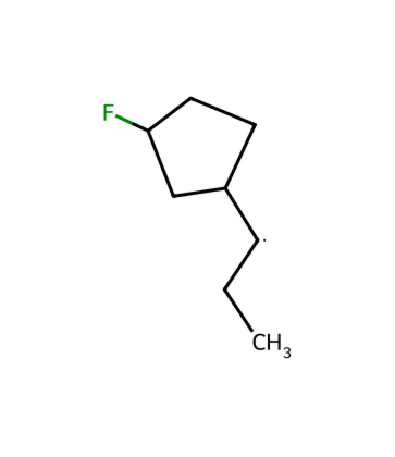 CC[CH]C1CCC(F)C1